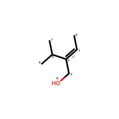 C/C=C(/CO)C(C)C